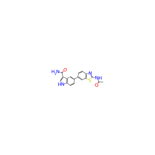 CC(=O)Nc1nc2ccc(-c3ccc4[nH]cc(C(N)=O)c4c3)cc2s1